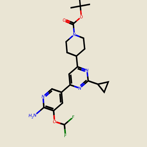 CC(C)(C)OC(=O)N1CCC(c2cc(-c3cnc(N)c(OC(F)F)c3)nc(C3CC3)n2)CC1